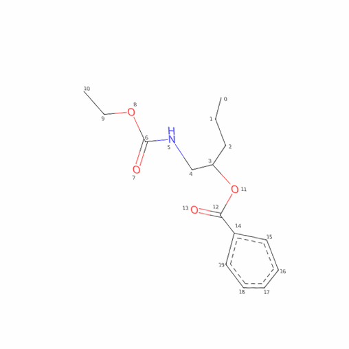 CCCC(CNC(=O)OCC)OC(=O)c1ccccc1